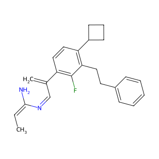 C=C(/C=N\C(N)=C/C)c1ccc(C2CCC2)c(CCc2ccccc2)c1F